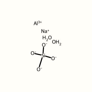 O.O.[Al+3].[Na+].[O-][Si]([O-])([O-])[O-]